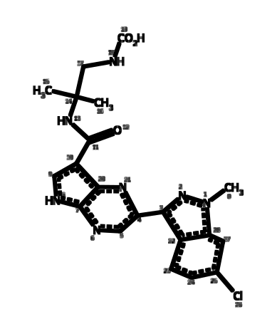 Cn1nc(-c2cnc3[nH]cc(C(=O)NC(C)(C)CNC(=O)O)c3n2)c2ccc(Cl)cc21